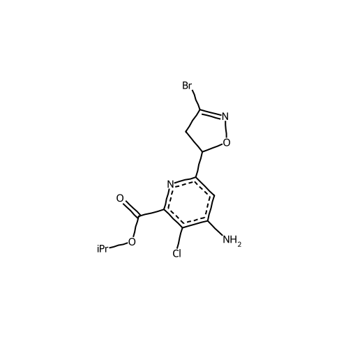 CC(C)OC(=O)c1nc(C2CC(Br)=NO2)cc(N)c1Cl